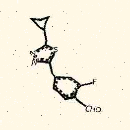 O=Cc1ccc(-c2nnc(C3CC3)s2)cc1F